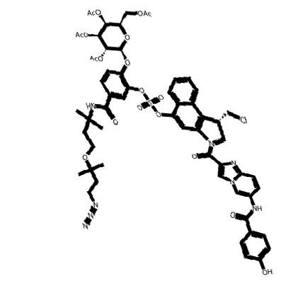 CC(=O)OC[C@H]1O[C@@H](Oc2ccc(C(=O)NC(C)(C)CCOC(C)(C)CCN=[N+]=[N-])cc2OS(=O)(=O)Oc2cc3c(c4ccccc24)[C@H](CCl)CN3C(=O)c2cn3cc(NC(=O)c4ccc(O)cc4)ccc3n2)[C@H](OC(C)=O)[C@@H](OC(C)=O)[C@H]1OC(C)=O